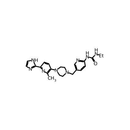 CCNC(=O)Nc1ccc(CN2CCN(c3ccc(-c4ncc[nH]4)nc3C)CC2)cn1